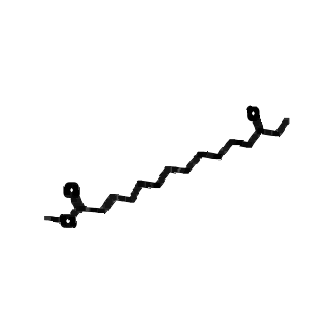 CCC(=O)CCCCCCCCCCCC(=O)OC